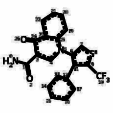 NC(=O)c1cn(-c2csc(C(F)(F)F)c2-c2ccccc2)c2ccccc2c1=O